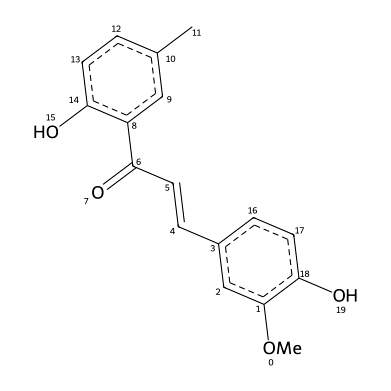 COc1cc(/C=C/C(=O)c2cc(C)ccc2O)ccc1O